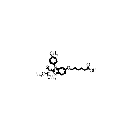 Cc1ccc(-n2c([S+]([O-])C(C)C)nc3ccc(OCCCCCC(=O)O)cc32)cc1